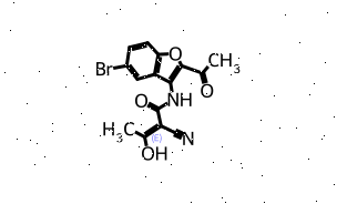 CC(=O)c1oc2ccc(Br)cc2c1NC(=O)/C(C#N)=C(\C)O